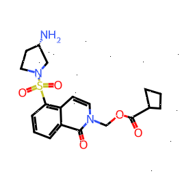 N[C@H]1CCN(S(=O)(=O)c2cccc3c(=O)n(COC(=O)C4CCC4)ccc23)C1